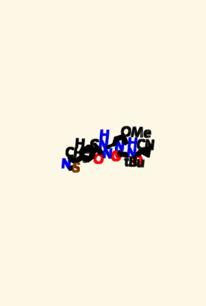 COC1C[C@H](C2=NC(=O)[C@](C)(c3ccc(-c4scnc4C)cc3)N2)N(C(=O)C(NC(=O)C2(C#N)CC2)C(C)(C)C)C1